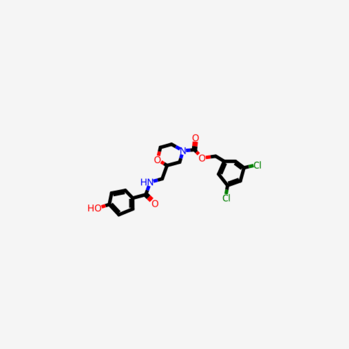 O=C(NCC1CN(C(=O)OCc2cc(Cl)cc(Cl)c2)CCO1)c1ccc(O)cc1